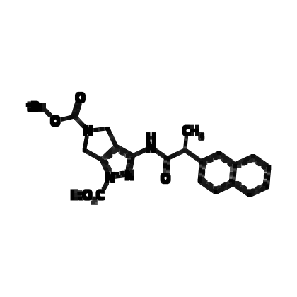 CCOC(=O)n1nc(NC(=O)C(C)c2ccc3ccccc3c2)c2c1CN(C(=O)OC(C)(C)C)C2